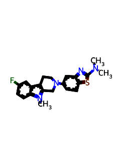 CN(C)c1nc2cc(N3CCc4c(n(C)c5ccc(F)cc45)C3)ccc2s1